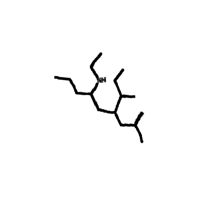 CCCC(CC(CC(C)C)C(C)CC)NCC